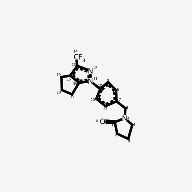 O=C1CCCN1Cc1ccc(-n2nc(C(F)(F)F)c3c2CCC3)cc1